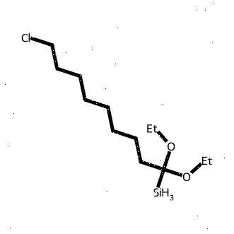 CCOC([SiH3])(CCCCCCCCCl)OCC